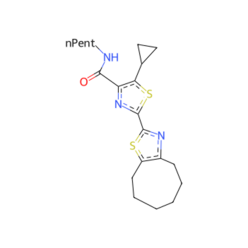 CCCCCNC(=O)c1nc(-c2nc3c(s2)CCCCCC3)sc1C1CC1